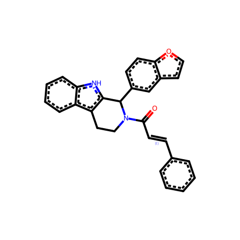 O=C(/C=C/c1ccccc1)N1CCc2c([nH]c3ccccc23)C1c1ccc2occc2c1